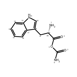 NC(=O)OC(=O)[C@@H](N)Cc1c[nH]c2ccccc12